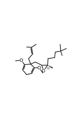 COC1=CCC=C(OC)C1(CC=C(C)C)CC1O[C@@]1(C)CCCC(C)(C)C